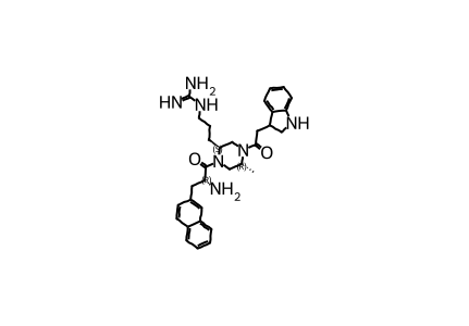 C[C@@H]1CN(C(=O)[C@H](N)Cc2ccc3ccccc3c2)[C@@H](CCCNC(=N)N)CN1C(=O)CC1CNc2ccccc21